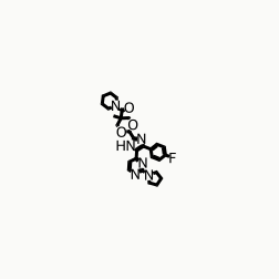 CC1(C(=O)N2CCCCC2)COC(c2nc(-c3ccc(F)cc3)c(-c3ccnc(N4CCCC4)n3)[nH]2)OC1